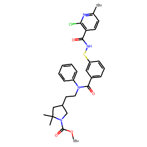 CC(C)(C)OC(=O)N1CC(CCN(C(=O)c2cccc(SNC(=O)c3ccc(C(C)(C)C)nc3Cl)c2)c2ccccc2)CC1(C)C